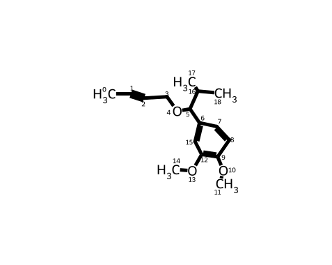 CC#CCOC(c1ccc(OC)c(OC)c1)C(C)C